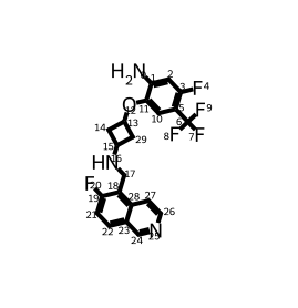 Nc1cc(F)c(C(F)(F)F)cc1OC1CC(NCc2c(F)ccc3cnccc23)C1